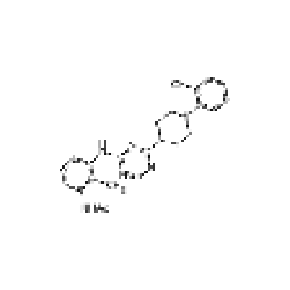 CC(=O)Nc1cccc(Nc2ncnc(N3CCN(c4ccccc4Cl)CC3)n2)c1C